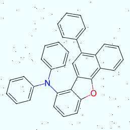 c1ccc(-c2cc3c(oc4cccc(N(c5ccccc5)c5ccccc5)c43)c3ccccc23)cc1